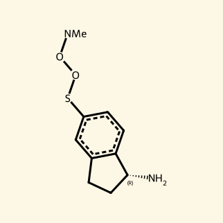 CNOOSc1ccc2c(c1)CC[C@H]2N